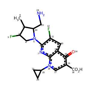 CC1C(F)CN(c2nc3c(cc2F)c(=O)c(C(=O)O)cn3C2CC2)C1CN